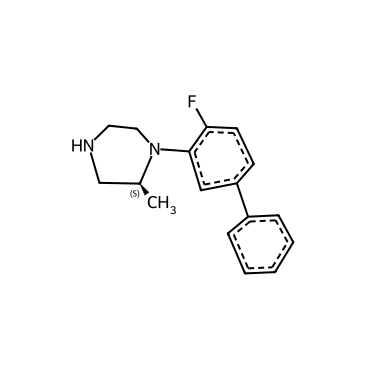 C[C@H]1CNCCN1c1cc(-c2ccccc2)ccc1F